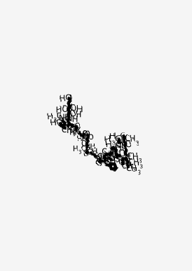 CC[C@H](C)[C@@H]([C@@H](CC(=O)N1CCC[C@H]1[C@H](OC)[C@@H](C)C(=O)N[C@@H](Cc1ccccc1)C(=O)NCCCOC(=O)C(C)NC(=O)CC(NC(=O)CCNC(=O)OCC(NC(C)(CO)CCNC)C(=O)NC[C@H](O)[C@@H](O)[C@H](O)CCO)C(=O)O)OC)N(C)C(=O)CNC(=O)C(C(C)C)N(C)C